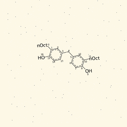 CCCCCCCCc1cc(Cc2ccc(O)c(CCCCCCCC)c2)ccc1O